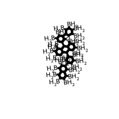 Bc1c(B)c(-c2c(B)c(B)c3c(B)c(B)c(B)c(B)c3c2B)c(B)c(-c2c3c(B)c(B)c(B)c(B)c3c(-c3c(B)c(B)c(B)c4c3oc3c(B)c(B)c(B)c(B)c34)c3c(B)c(B)c(B)c(B)c23)c1B